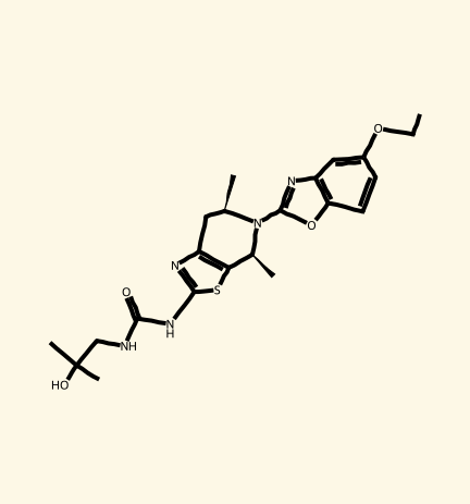 CCOc1ccc2oc(N3[C@H](C)Cc4nc(NC(=O)NCC(C)(C)O)sc4[C@@H]3C)nc2c1